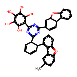 Cc1ccc2oc3cccc(C4C=CC=CC4c4nc(C5=CC6Oc7ccccc7C6C=C5)nc(-c5c(O)c(O)c(O)c(O)c5O)n4)c3c2c1